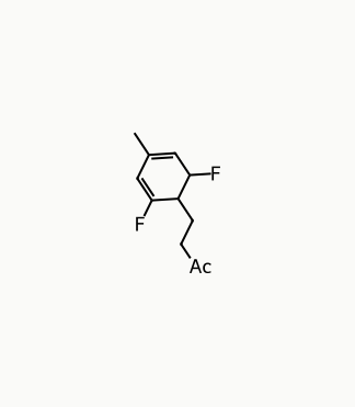 CC(=O)CCC1C(F)=CC(C)=CC1F